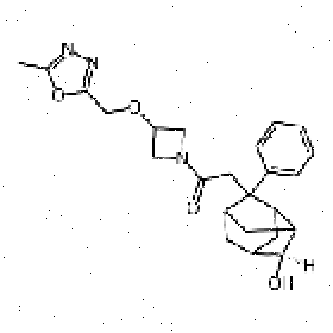 Cc1nnc(COC2CN(C(=O)CC3(c4ccccc4)C4CC5CC3C(C4)[C@H]5O)C2)o1